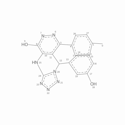 Cc1ccc(-c2nnc(O)c3c2C(c2cccc(O)c2)n2nnnc2N3)cc1